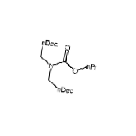 CCCCCCCCCCCN(CCCCCCCCCCC)C(=O)OCCC